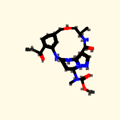 CNC(=O)c1ccc2cc1Nc1cc(N(C)C(=O)OC(C)(C)C)n3ncc(c3n1)C(=O)N[C@H](C)COC2